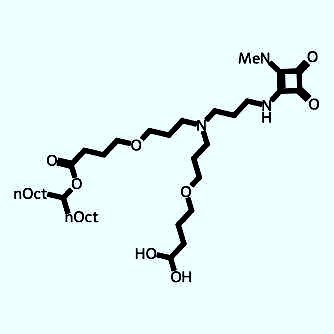 CCCCCCCCC(CCCCCCCC)OC(=O)CCCOCCCN(CCCNc1c(NC)c(=O)c1=O)CCCOCCCC(O)O